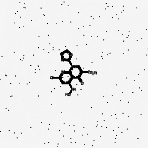 CCOC(=O)c1cn(-c2nccs2)c2nc(Cl)cc(NO)c2c1=O